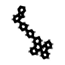 c1ccc2c(c1)sc1c(-c3ccc(-c4ccc(-c5ccc6c(c5)c5ccccc5c5c7ccccc7c7ccccc7c65)cc4)cc3)cccc12